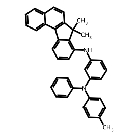 Cc1ccc(N(c2ccccc2)c2cccc(Nc3cccc4c3C(C)(C)c3ccc5ccccc5c3-4)c2)cc1